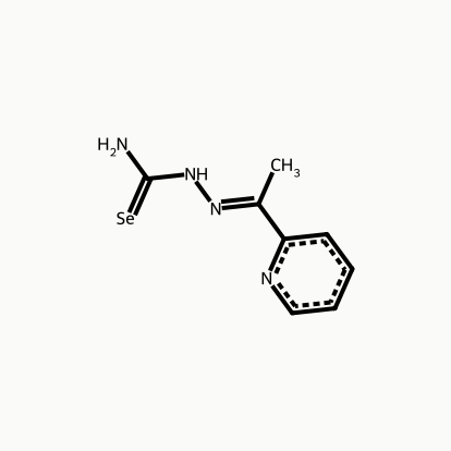 CC(=NNC(N)=[Se])c1ccccn1